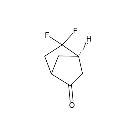 O=C1C[C@H]2CC1CC2(F)F